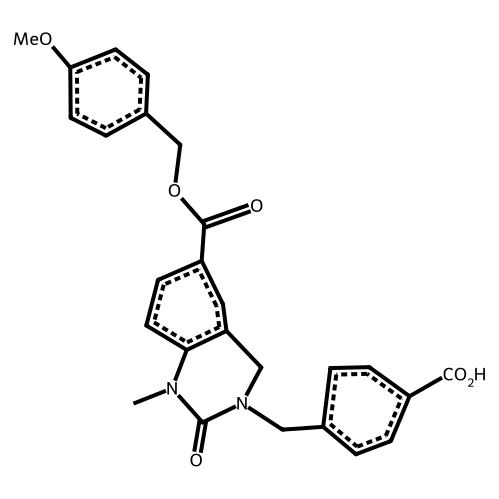 COc1ccc(COC(=O)c2ccc3c(c2)CN(Cc2ccc(C(=O)O)cc2)C(=O)N3C)cc1